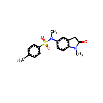 Cc1ccc(S(=O)(=O)N(C)c2ccc3c(c2)CC(=O)N3C)cc1